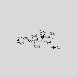 CC(=O)NCc1ccc(N(CC(C)C)S(=O)(=O)c2ccc(OCC3CCOCC3)c(CO)c2)c(C)c1